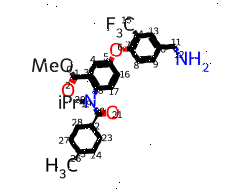 COC(=O)c1cc(Oc2ccc(CN)cc2C(F)(F)F)ccc1N(C(=O)[C@H]1CC[C@H](C)CC1)C(C)C